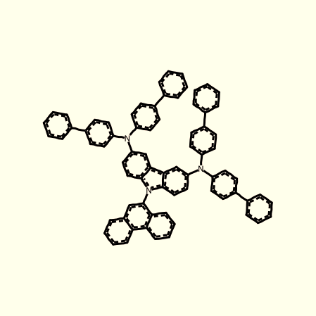 c1ccc(-c2ccc(N(c3ccc(-c4ccccc4)cc3)c3ccc4c(c3)c3cc(N(c5ccc(-c6ccccc6)cc5)c5ccc(-c6ccccc6)cc5)ccc3n4-c3cc4ccccc4c4ccccc34)cc2)cc1